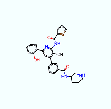 N#Cc1c(-c2cccc(C(=O)NC3CCCNC3)c2)cc(-c2ccccc2O)nc1NC(=O)c1cccs1